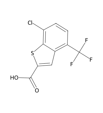 O=C(O)c1cc2c(C(F)(F)F)ccc(Cl)c2s1